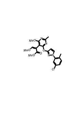 COC=C(C(=O)OC)c1c(OC)nc(C)nc1Oc1ccn(-c2cc(Cl)ccc2C)n1